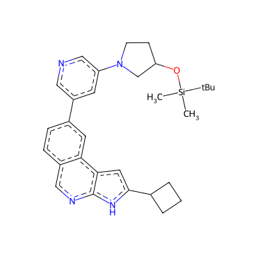 CC(C)(C)[Si](C)(C)OC1CCN(c2cncc(-c3ccc4cnc5[nH]c(C6CCC6)cc5c4c3)c2)C1